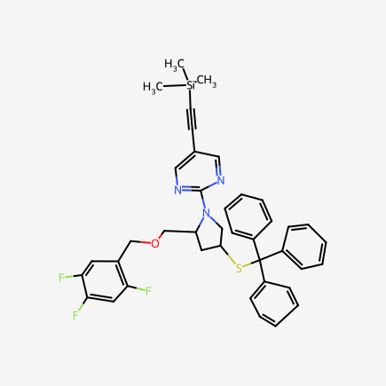 C[Si](C)(C)C#Cc1cnc(N2CC(SC(c3ccccc3)(c3ccccc3)c3ccccc3)CC2COCc2cc(F)c(F)cc2F)nc1